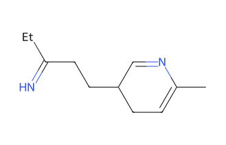 CCC(=N)CCC1C=NC(C)=CC1